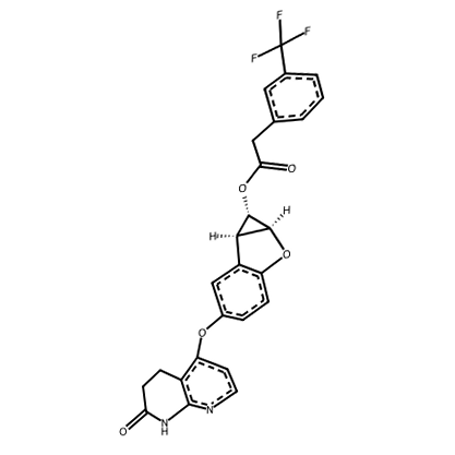 O=C1CCc2c(Oc3ccc4c(c3)[C@H]3[C@H](OC(=O)Cc5cccc(C(F)(F)F)c5)[C@H]3O4)ccnc2N1